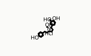 Cl.OCN1C(CCc2ccc(O)cc2)CCC1c1ccc(O)c(O)c1